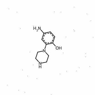 Nc1ccc(O)c(N2CCNCC2)c1